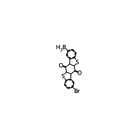 Bc1ccc2c(c1)C1C(=O)C3Sc4ccc(Br)cc4C3C(=O)C1S2